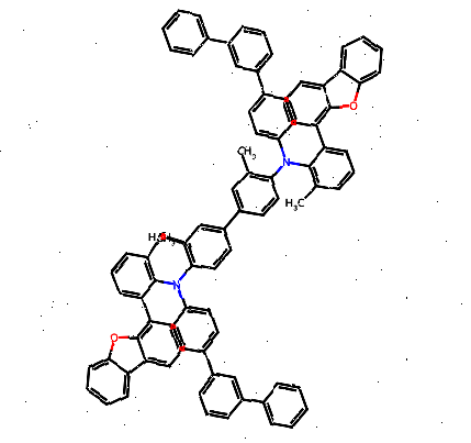 Cc1cc(-c2ccc(N(c3ccc(-c4cccc(-c5ccccc5)c4)cc3)c3c(C)cccc3-c3cccc4c3oc3ccccc34)c(C)c2)ccc1N(c1ccc(-c2cccc(-c3ccccc3)c2)cc1)c1c(C)cccc1-c1cccc2c1oc1ccccc12